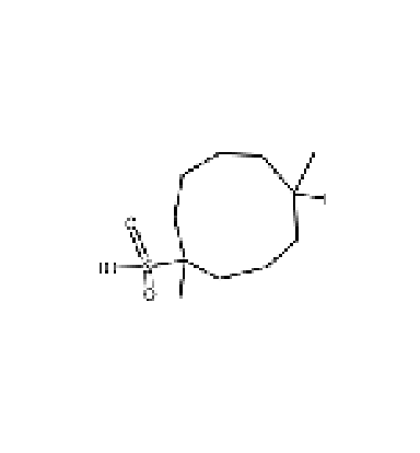 CC1(I)CCCCC(C)(S(=O)(=O)O)CCC1